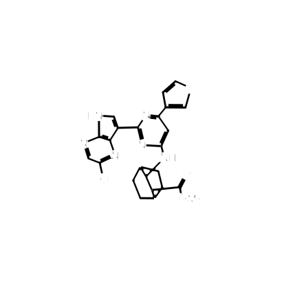 COC(=O)C1C2CCC(CC2)C1Nc1cc(-c2ccoc2)nc(-c2c[nH]c3ncc(Cl)nc23)n1